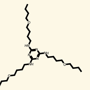 CCCCOCCCCNc1nc(NCCCCOCCCC)nc(NCCCCOCCCC)n1